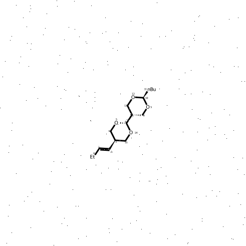 CCC=C[C@H]1CO[C@H]([C@H]2CO[C@H](CCCC)OC2)OC1